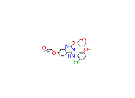 COc1ccc(Cl)c(Nc2nc(OC3CCCOC3)nc3cc(OC[C@H]4CO4)ccc23)c1